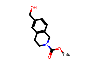 CCCCOC(=O)N1CCc2cc(CO)ccc2C1